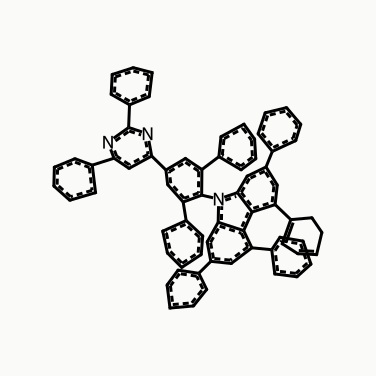 C1=CCCC(c2cc(-c3ccccc3)cc3c2c2c(-c4ccccc4)cc(-c4ccccc4)cc2n3-c2c(-c3ccccc3)cc(-c3cc(-c4ccccc4)nc(-c4ccccc4)n3)cc2-c2ccccc2)=C1